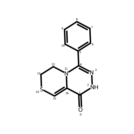 O=C1NN=C(c2ccccc2)N2CCSC=C12